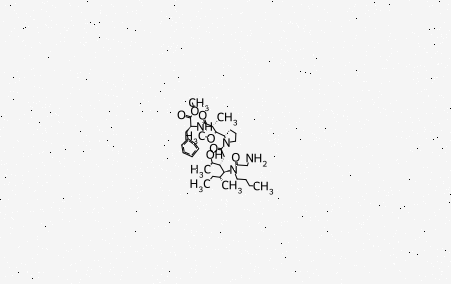 CCCCN(C(=O)CN)[C@H]([C@@H](CC(=O)N1CCC[C@H]1[C@H](OC)[C@@H](C)C(=O)N[C@@H](Cc1ccccc1)C(=O)OC)[C@@H](C)O)[C@@H](C)CC